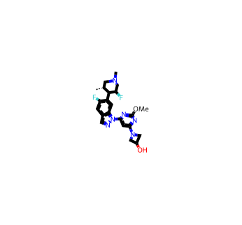 COc1nc(N2CC(O)C2)cc(-n2ncc3cc(F)c(C4C(F)CN(C)C[C@H]4C)cc32)n1